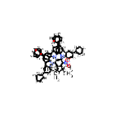 CC1(C)CC(C)(C)c2c([N+](=O)[O-])c(-n3c4ccc(-c5ccccc5)cc4c4cc(-c5ccccc5)ccc43)c(-n3c4ccc(-c5ccccc5)cc4c4cc(-c5ccccc5)ccc43)c(-n3c4ccc(-c5ccccc5)cc4c4cc(-c5ccccc5)ccc43)c21